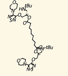 CC(C)(C)NC[C@@H](COc1nsnc1N1CCOCC1)OC(=O)CCCCCCCCC(=O)O[C@@H](CNC(C)(C)C)COc1nsnc1N1CCOCC1